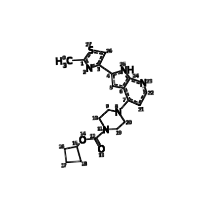 Cc1nc(-c2cc3c(N4CCN(C(=O)OC5CCC5)CC4)ccnc3[nH]2)cs1